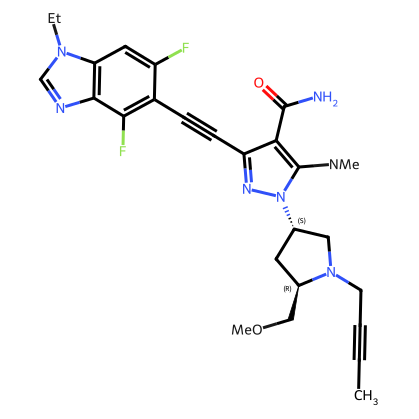 CC#CCN1C[C@@H](n2nc(C#Cc3c(F)cc4c(ncn4CC)c3F)c(C(N)=O)c2NC)C[C@@H]1COC